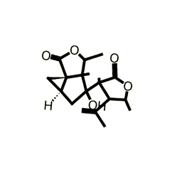 C=C(C)C1C(C)OC(=O)C1(C)C1(O)C[C@H]2C[C@]23C(=O)OC(C)C13C